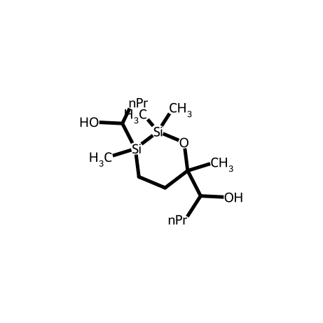 CCCC(O)C1(C)CC[Si](C)(C(O)CCC)[Si](C)(C)O1